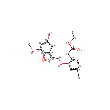 CCOC(=O)Cc1ccc(C)cc1OCc1coc2c(OC)cc(Br)cc12